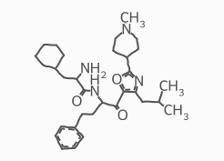 CC(C)Cc1nc(C2CCN(C)CC2)oc1C(=O)C(CCc1ccccc1)NC(=O)C(N)CC1CCCCC1